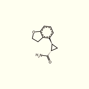 NC(=O)[C@H]1C[C@@H]1c1cccc2c1CCO2